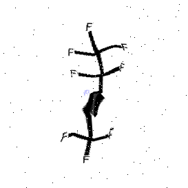 FC(F)(F)/C=C/C(F)(F)C(F)(F)F